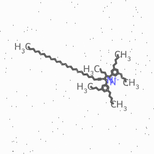 CCCCCCCCCCCCCCCCCCCCCCCCCCC#CC1=C(c2cc(CCCC)cc(CCCCC)c2)[N+](=[N-])C(c2cc(CCCC)cc(CCCCC)c2)=C1CCCC